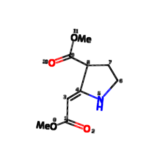 COC(=O)C=C1NCCC1C(=O)OC